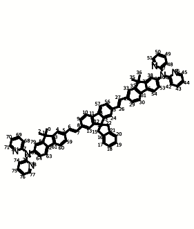 CC1(C)c2cc(/C=C/c3ccc4c(c3)C3(Cc5ccccc5C3)c3cc(/C=C/c5ccc6c(c5)C(C)(C)c5cc(N(c7ccccn7)c7ccccn7)ccc5-6)ccc3-4)ccc2-c2ccc(N(c3ccccn3)c3ccccn3)cc21